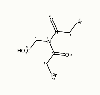 CC(C)CC(=O)N(CC(=O)O)C(=O)CC(C)C